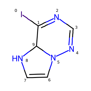 IC1=NC=NN2C=CNC12